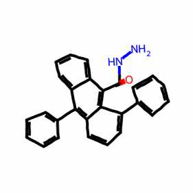 NNC(=O)c1c2ccccc2c(-c2ccccc2)c2cccc(-c3ccccc3)c12